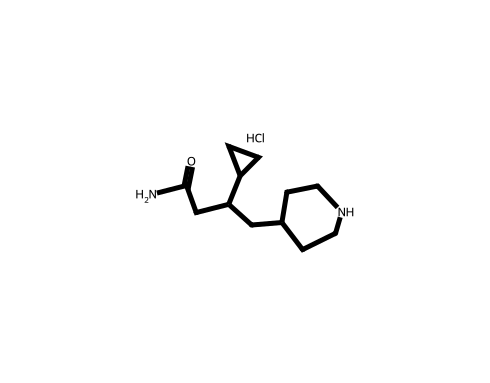 Cl.NC(=O)CC(CC1CCNCC1)C1CC1